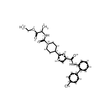 CCOC(=O)C(C)NC(=S)N1CCC(c2nc(C(=O)Nc3ccccc3-c3ccc(Cl)cc3)cs2)CC1